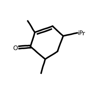 CC1=CC(C(C)C)CC(C)C1=O